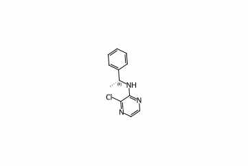 C[C@@H](Nc1nccnc1Cl)c1ccccc1